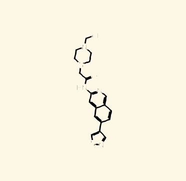 CCN1CCN(CC(=O)Nc2cc3cc(-c4cn[nH]c4)ccc3cn2)CC1